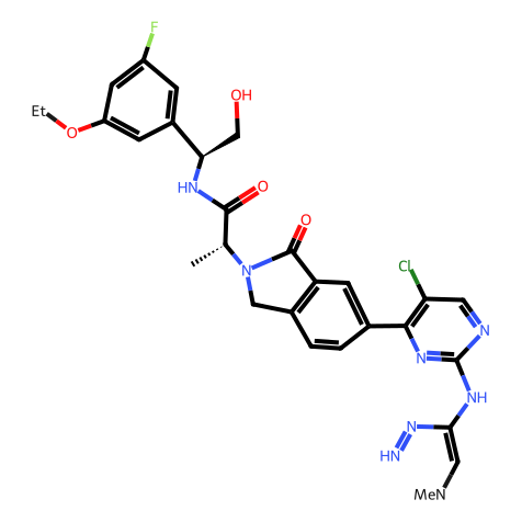 CCOc1cc(F)cc([C@@H](CO)NC(=O)[C@@H](C)N2Cc3ccc(-c4nc(N/C(=C/NC)N=N)ncc4Cl)cc3C2=O)c1